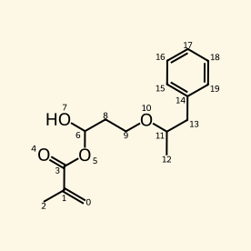 C=C(C)C(=O)OC(O)CCOC(C)Cc1ccccc1